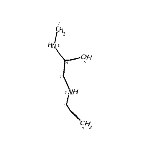 CCNCC(O)NC